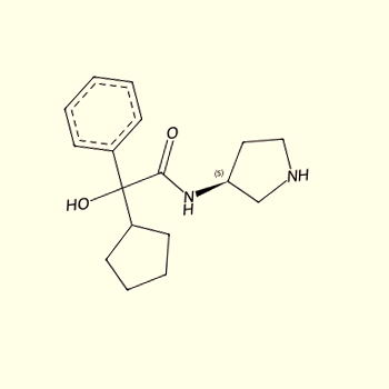 O=C(N[C@H]1CCNC1)C(O)(c1ccccc1)C1CCCC1